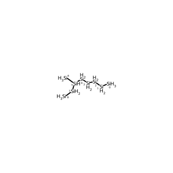 [SiH3][SiH2][SiH2][SiH2][SiH2][SiH]([SiH3])[SiH2][SiH3]